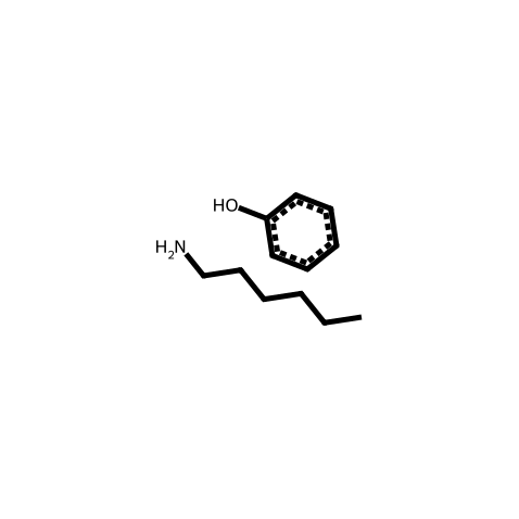 CCCCCCN.Oc1ccccc1